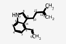 C=Cc1cccc2[nH]cc(CCC(=C)C)c12